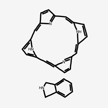 C1=Cc2cc3ccc(cc4nc(cc5ccc(cc1n2)[nH]5)C=C4)[nH]3.c1ccc2c(c1)CNC2